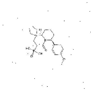 CCC1(CC)CC(P(=O)(O)O)C(=O)N2[C@H](c3ccc(OC)cc3)CCC[C@@H]21